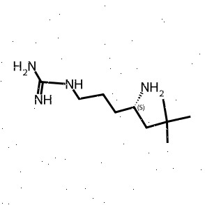 CC(C)(C)C[C@@H](N)CCCNC(=N)N